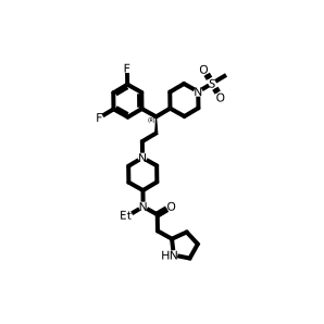 CCN(C(=O)CC1CCCN1)C1CCN(CC[C@@H](c2cc(F)cc(F)c2)C2CCN(S(C)(=O)=O)CC2)CC1